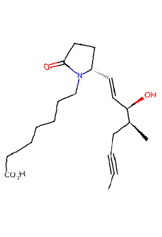 CC#CC[C@H](C)[C@H](O)C=C[C@H]1CCC(=O)N1CCCCCCC(=O)O